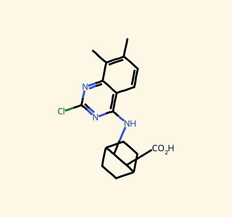 Cc1ccc2c(NC3C4CCC(CC4)C3C(=O)O)nc(Cl)nc2c1C